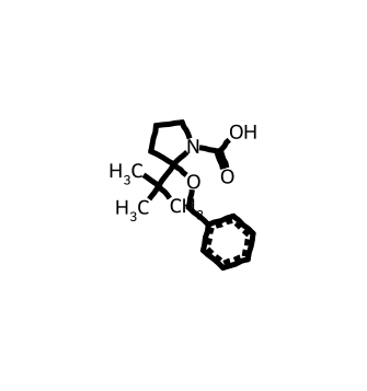 CC(C)(C)C1(OCc2ccccc2)CCCN1C(=O)O